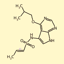 C/C=C/S(=O)(=O)Nc1c[nH]c2ncnc(OCC(C)C)c12